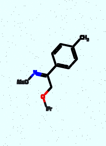 CO/N=C(\COC(C)C)c1ccc(C)cc1